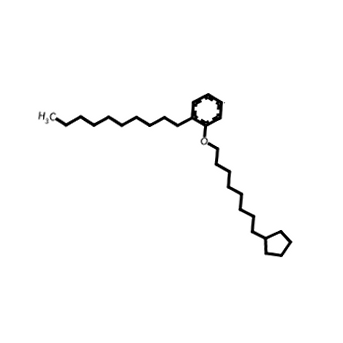 CCCCCCCCCCc1cc[c]cc1OCCCCCCCCC1CCCC1